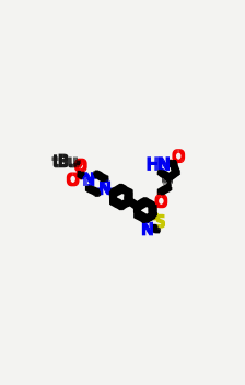 CC(C)(C)OC(=O)N1CCN(c2ccc(-c3cc(OCC[C@H]4CNC(=O)C4)c4scnc4c3)cc2)CC1